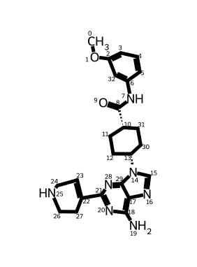 COc1cccc(NC(=O)[C@H]2CC[C@@H](n3cnc4c(N)nc(C5=CCNCC5)nc43)CC2)c1